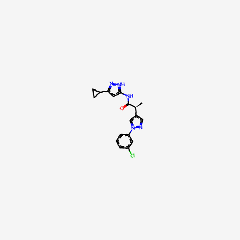 C[C@H](C(=O)Nc1cc(C2CC2)n[nH]1)c1cnn(-c2cccc(Cl)c2)c1